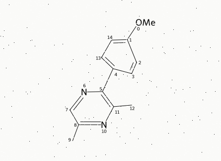 COc1ccc(-c2ncc(C)nc2C)cc1